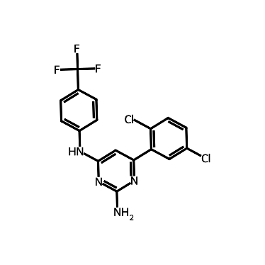 Nc1nc(Nc2ccc(C(F)(F)F)cc2)cc(-c2cc(Cl)ccc2Cl)n1